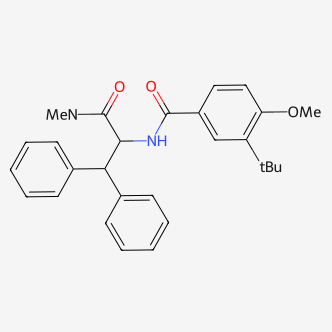 CNC(=O)C(NC(=O)c1ccc(OC)c(C(C)(C)C)c1)C(c1ccccc1)c1ccccc1